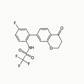 O=C1CCOc2cc(-c3cc(F)ccc3NS(=O)(=O)C(F)(F)F)ccc21